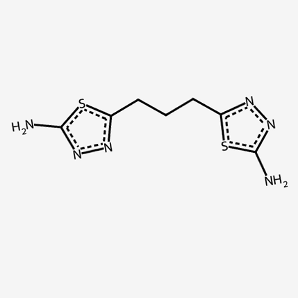 Nc1nnc(CCCc2nnc(N)s2)s1